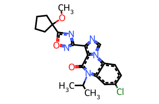 COC1(c2nc(-c3ncn4c3c(=O)n(C(C)C)c3cc(Cl)ccc34)no2)CCCC1